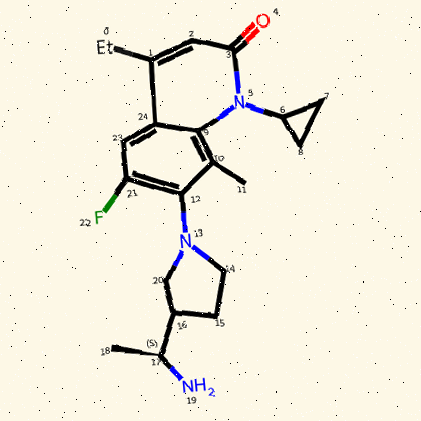 CCc1cc(=O)n(C2CC2)c2c(C)c(N3CCC([C@H](C)N)C3)c(F)cc12